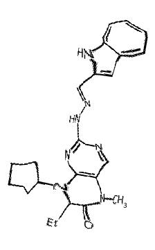 CCC1C(=O)N(C)c2cnc(N/N=C/c3cc4ccccc4[nH]3)nc2N1C1CCCC1